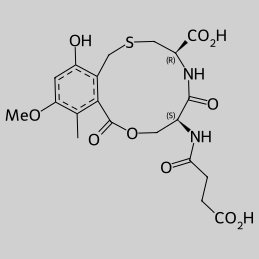 COc1cc(O)c2c(c1C)C(=O)OC[C@H](NC(=O)CCC(=O)O)C(=O)N[C@H](C(=O)O)CSC2